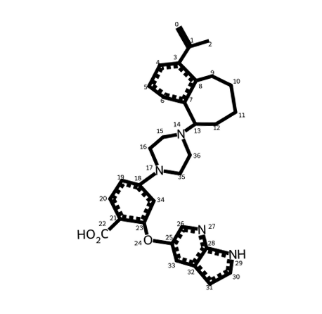 C=C(C)c1cccc2c1CCCCC2N1CCN(c2ccc(C(=O)O)c(Oc3cnc4[nH]ccc4c3)c2)CC1